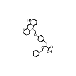 O=C(O)C(Cc1ccc(OCN2C3=CC=CNC3=Cc3ncccc32)cc1)OCc1ccccc1